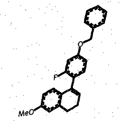 COc1ccc2c(c1)CCC=C2c1ccc(OCc2ccccc2)cc1F